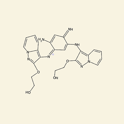 N=C1C=C(N)/C(=N\c2c(OCCO)nn3ccccc23)C=C1Nc1c(OCCO)nn2ccccc12